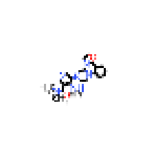 CCCNc1c(C(=O)N(C)C)cncc1N1CCN(c2ccccc2-c2ncco2)CC1